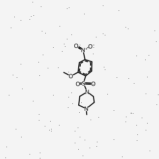 COc1cc([N+](=O)[O-])ccc1S(=O)(=O)N1CCN(C)CC1